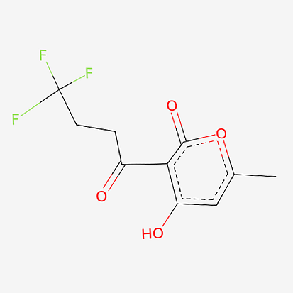 Cc1cc(O)c(C(=O)CCC(F)(F)F)c(=O)o1